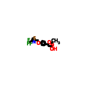 CCOC(CC(=O)O)c1ccc(OCc2nc(C(F)(F)F)cs2)cc1